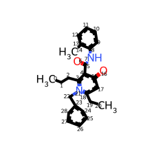 CCCc1c(C(=O)Nc2ccccc2C)c(=O)cc(CC)n1Cc1ccccc1